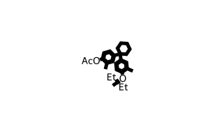 CCC(C)(CC)Oc1ccc(C2(c3ccc(OC(C)=O)c(C)c3)CCCCC2)cc1C